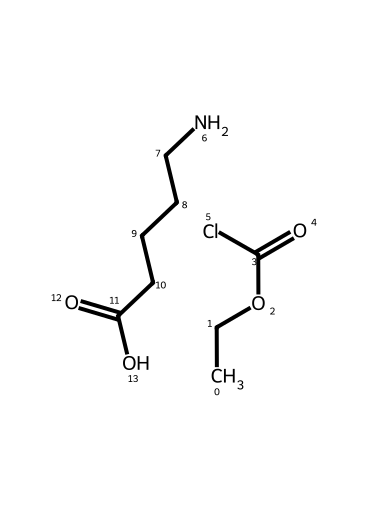 CCOC(=O)Cl.NCCCCC(=O)O